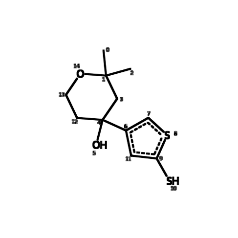 CC1(C)CC(O)(c2csc(S)c2)CCO1